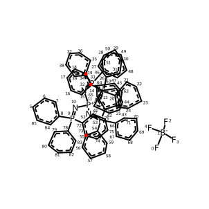 F[B-](F)(F)F.c1ccc(P(=N[P+](N=P(c2ccccc2)(c2ccccc2)c2ccccc2)(N=P(c2ccccc2)(c2ccccc2)c2ccccc2)N=P(c2ccccc2)(c2ccccc2)c2ccccc2)(c2ccccc2)c2ccccc2)cc1